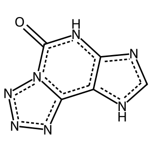 O=c1[nH]c2nc[nH]c2c2nnnn12